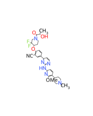 COc1nc(Nc2nccc(-c3ccc(OC4CCN(C(=O)C(C)O)CC4(F)F)c(C#N)c3)n2)ccc1C1CCN(C)CC1